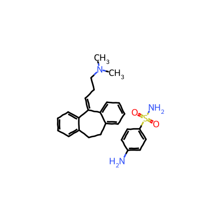 CN(C)CCC=C1c2ccccc2CCc2ccccc21.Nc1ccc(S(N)(=O)=O)cc1